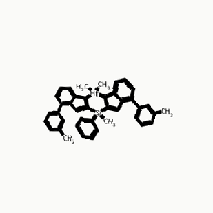 Cc1cccc(-c2cccc3c2C=C2[CH]3[Hf]([CH3])([CH3])[CH]3C(=Cc4c(-c5cccc(C)c5)cccc43)[Si]2(C)c2ccccc2)c1